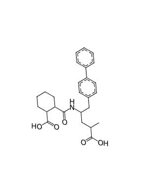 CC(CC(Cc1ccc(-c2ccccc2)cc1)NC(=O)C1CCCCC1C(=O)O)C(=O)O